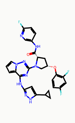 O=C(Nc1ccc(F)nc1)[C@@H]1C[C@H](Oc2ccc(F)cc2F)CN1c1nc(Nc2cc(C3CC3)[nH]n2)c2cccn2n1